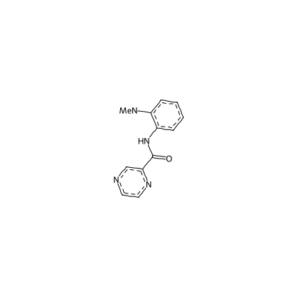 CNc1ccccc1NC(=O)c1cnccn1